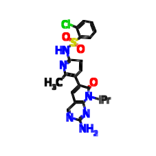 Cc1nc(NS(=O)(=O)c2ccccc2Cl)ccc1-c1cc2cnc(N)nc2n(C(C)C)c1=O